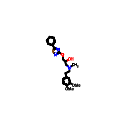 COc1ccc(CCN(C)CC(O)COc2nsc(-c3ccccc3)n2)cc1OC